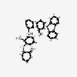 Oc1ccccc1.Oc1ccccc1.Oc1ccccc1Sc1ccccc1O.c1ccc2c(c1)Cc1ccccc1-2